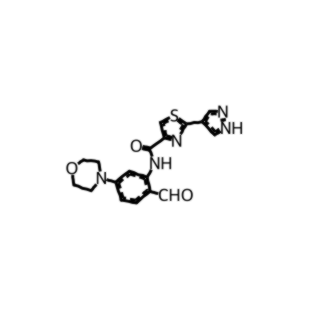 O=Cc1ccc(N2CCOCC2)cc1NC(=O)c1csc(-c2cn[nH]c2)n1